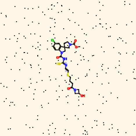 COC(=O)N1CCC2(C1)CN(C(=O)N/C(S)=N/C=C/SCCCC(=O)N1CC(O)C1)c1ccc(Cl)cc12